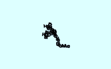 COC(=O)CC1CCN(C2CCN(C(=O)[C@@H](Cc3cc(Br)c(O)c(Br)c3)NC(=O)N3CCC(N4Cc5ccccc5NC4=O)CC3)CC2)CC1